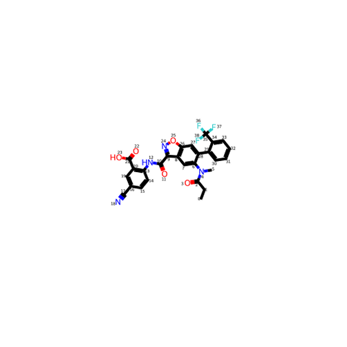 CCC(=O)N(C)c1cc2c(C(=O)Nc3ccc(C#N)cc3C(=O)O)noc2cc1-c1ccccc1C(F)(F)F